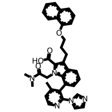 Cc1ccnc(-n2ccnc2)c1-c1cccc2c(CCCOc3cccc4ccccc34)c(C(=O)O)n(CC(=O)N(C)C)c12